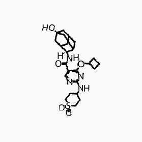 O=C(N[C@H]1C2CC3CC1C[C@@](O)(C3)C2)c1cnc(NC2CCS(=O)(=O)CC2)nc1OC1CCC1